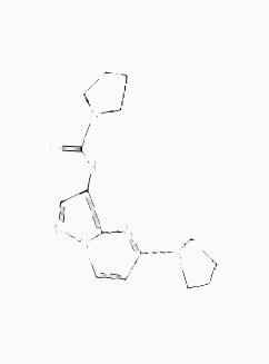 O=C(Nc1cnn2ccc(N3CCCC3)nc12)N1CCCC1